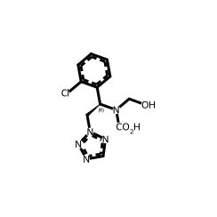 O=C(O)N(CO)[C@@H](Cn1ncnn1)c1ccccc1Cl